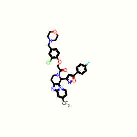 O=C(COc1ccc(CN2CCOCC2)cc1Cl)N1CCc2nc3cc(C(F)(F)F)ccn3c2C1c1cc(-c2ccc(F)cc2)on1